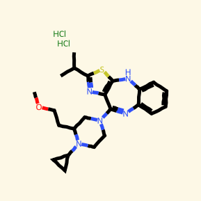 COCCC1CN(C2=Nc3ccccc3Nc3sc(C(C)C)nc32)CCN1C1CC1.Cl.Cl